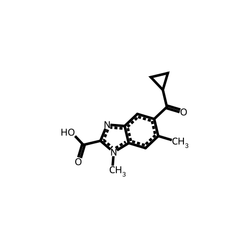 Cc1cc2c(cc1C(=O)C1CC1)nc(C(=O)O)n2C